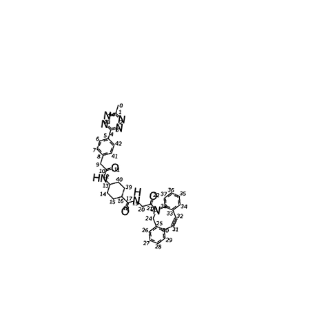 Cc1nnc(-c2ccc(CC(=O)NC3CCC(C(=O)NCC(=O)N4Cc5ccccc5C#Cc5ccccc54)CC3)cc2)nn1